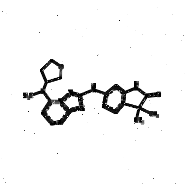 CN(c1cccc2nc(Nc3ccc4c(c3)NC(=O)C4(C)C)nn12)C1CCOC1